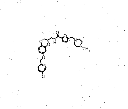 CN1CCN(Cc2ccc(C(=O)NCC3COc4ccc(OCc5ccc(Cl)cn5)cc4O3)o2)CC1